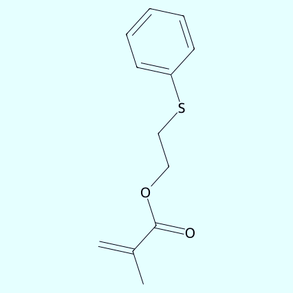 C=C(C)C(=O)OCCSc1ccccc1